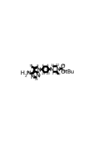 CC1CN(C2CCC(n3cc(I)c4c(N)ncnc43)CC2)CCN1C(=O)OC(C)(C)C